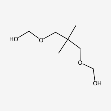 CC(C)(COCO)COCO